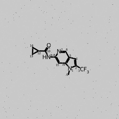 Cn1c(C(F)(F)F)cc2cnc(NC(=O)C3CC3)cc21